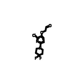 O=CCOc1ccc(N2CCC(F)(F)CC2)nc1Cl